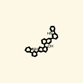 Oc1ccc2cc(-c3cccc4c3[nH]c3ccccc34)ccc2c1-c1cccc2cc(-c3cccc4c3[nH]c3ccccc34)ccc12